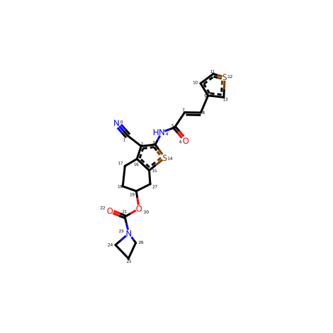 N#Cc1c(NC(=O)C=Cc2ccsc2)sc2c1CCC(OC(=O)N1CCC1)C2